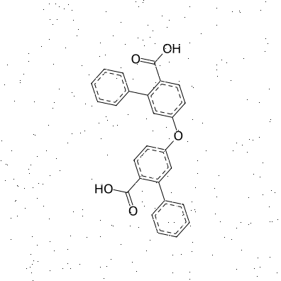 O=C(O)c1ccc(Oc2ccc(C(=O)O)c(-c3ccccc3)c2)cc1-c1ccccc1